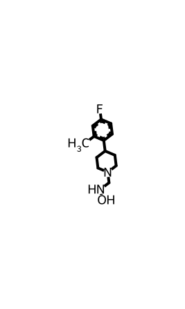 Cc1cc(F)ccc1C1CCN(CNO)CC1